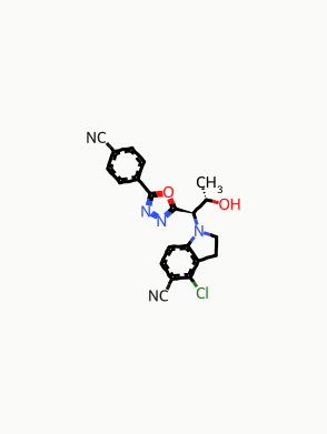 C[C@H](O)[C@H](c1nnc(-c2ccc(C#N)cc2)o1)N1CCc2c1ccc(C#N)c2Cl